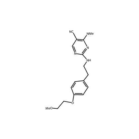 CNc1nc(NCCc2ccc(OCCOC)cc2)ncc1C#N